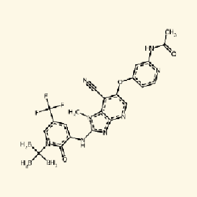 BC(B)(B)n1cc(C(F)(F)F)cc(Nc2nc3ncc(Oc4ccnc(NC(C)=O)c4)c(C#N)c3n2C)c1=O